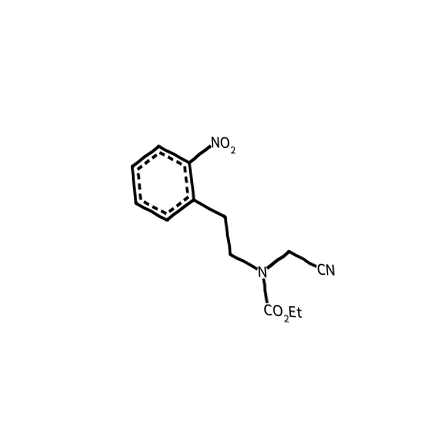 CCOC(=O)N(CC#N)CCc1ccccc1[N+](=O)[O-]